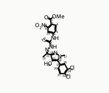 COC(=O)c1ccc(NC(=S)NN=C(C)c2nn(C)c(-c3ccc(Cl)c(Cl)c3)c2O)cc1[N+](=O)[O-]